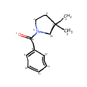 CC1(C)C[CH]N(C(=O)c2ccccc2)C1